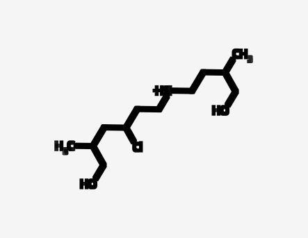 CC(CO)CC[SiH]CCC(Cl)CC(C)CO